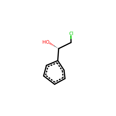 O[C@H](CCl)c1ccccc1